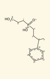 CC(CCP(=O)(O)CCC(=O)O)c1ccccc1